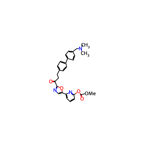 COC(=O)Oc1cccc(-c2cnc(C(=O)CCc3ccc(-c4ccc(CN(C)C)cc4)cc3)o2)n1